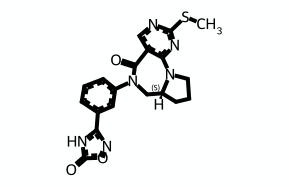 CSc1ncc2c(n1)N1CCC[C@H]1CN(c1cccc(-c3noc(=O)[nH]3)c1)C2=O